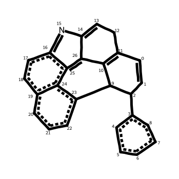 C1=CC(c2ccccc2)C2C3=C1CC=C1N=c4ccc5cccc2c5c4=C13